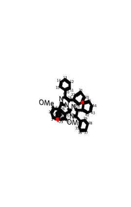 COc1ccccc1-c1nc(-c2ccccc2)c(-c2ccccc2)n1C1(c2ccccc2OC)N=C(c2ccccc2)C(c2ccccc2)=N1